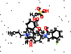 C=CCN1CC[C@]23c4c5ccc(O)c4O[C@H]2[C@H](N2Cc4c(F)cccc4C2=O)CC[C@@]3(O)[C@H]1C5.CS(=O)(=O)O